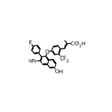 CCCc1cc2cc(O)ccc2c(Oc2ccc(C=C(C)C(=O)O)c(C(F)(F)F)c2)c1-c1ccc(F)cc1